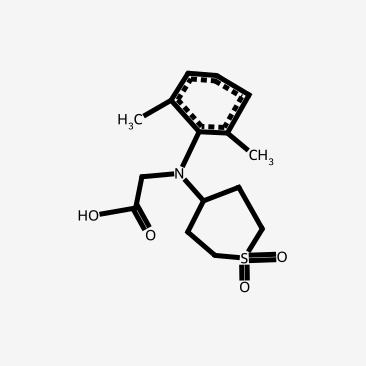 Cc1cccc(C)c1N(CC(=O)O)C1CCS(=O)(=O)CC1